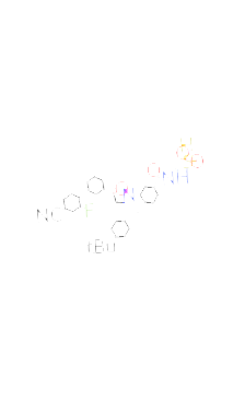 CC(C)(C)c1ccc(C(Cc2ccc(C(=O)NCC[SH](=O)=O)cc2)c2cc(-c3cccc(-c4ccc(C#N)cc4F)c3)on2)cc1